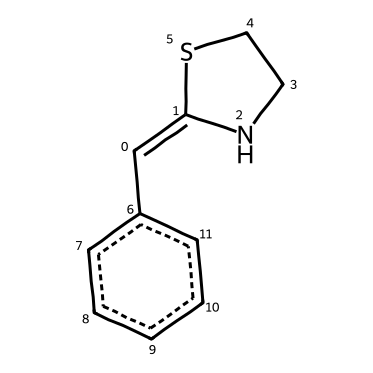 C(=C1/NCCS1)/c1ccccc1